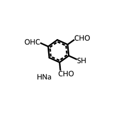 O=Cc1cc(C=O)c(S)c(C=O)c1.[NaH]